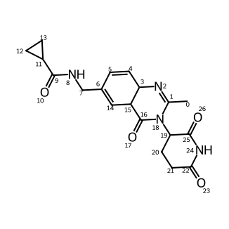 CC1=NC2C=CC(CNC(=O)C3CC3)=CC2C(=O)N1C1CCC(=O)NC1=O